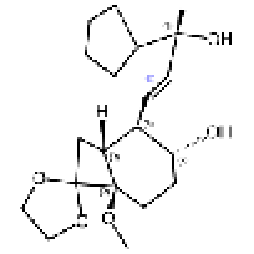 CO[C@]12CC[C@@H](O)[C@H](/C=C/[C@@](C)(O)C3CCCC3)[C@H]1CC21OCCO1